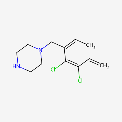 C=C/C(Cl)=C(Cl)\C(=C/C)CN1CCNCC1